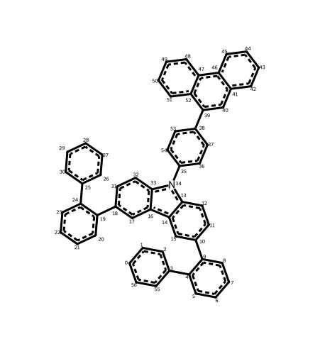 c1ccc(-c2ccccc2-c2ccc3c(c2)c2cc(-c4ccccc4-c4ccccc4)ccc2n3-c2ccc(-c3cc4ccccc4c4ccccc34)cc2)cc1